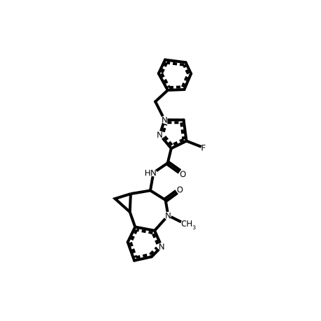 CN1C(=O)C(NC(=O)c2nn(Cc3ccccc3)cc2F)C2CC2c2cccnc21